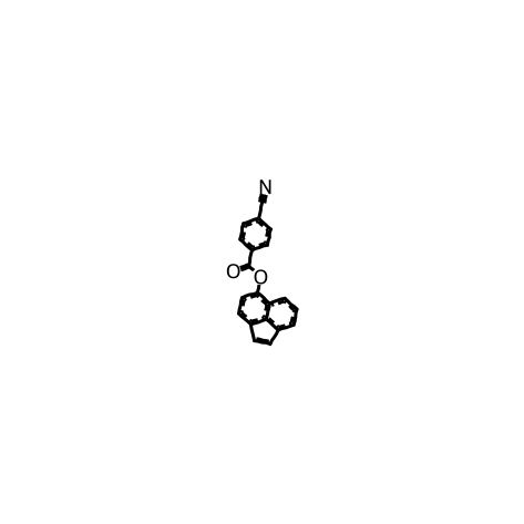 N#Cc1ccc(C(=O)Oc2ccc3c4c(cccc24)C=C3)cc1